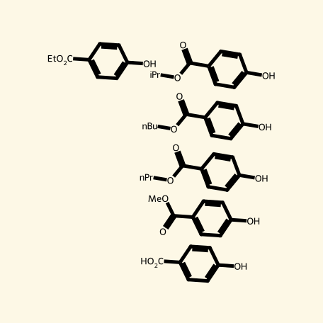 CC(C)OC(=O)c1ccc(O)cc1.CCCCOC(=O)c1ccc(O)cc1.CCCOC(=O)c1ccc(O)cc1.CCOC(=O)c1ccc(O)cc1.COC(=O)c1ccc(O)cc1.O=C(O)c1ccc(O)cc1